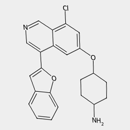 NC1CCC(Oc2cc(Cl)c3cncc(-c4cc5ccccc5o4)c3c2)CC1